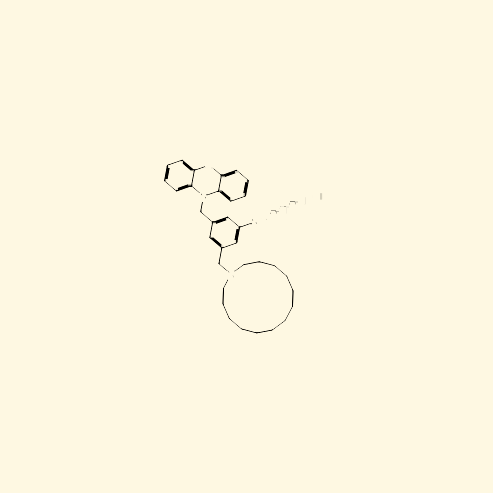 Cl.Cl.Cl.Cl.Cl.O=[N+]([O-])c1cc(CN2CCCCCCCCCCCCC2)cc(CN2c3ccccc3Sc3ccccc32)c1